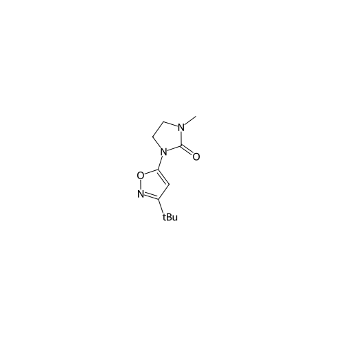 CN1CCN(c2cc(C(C)(C)C)no2)C1=O